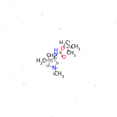 CN1C[C@H](NC(=O)OC(C)(C)C)C(C)(C)C1